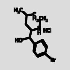 CNC(CC(C)C)C(O)c1ccc(Br)cc1.Cl